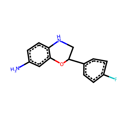 Nc1ccc2c(c1)OC(c1ccc(F)cc1)CN2